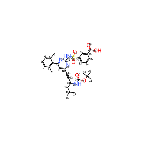 Cc1cccc(C)c1-c1cc(C#CC(CC(C)C)NC(=O)OC(C)(C)C)nc(NS(=O)(=O)c2cccc(C(=O)O)c2)n1